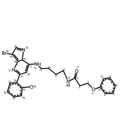 O=C(CCOc1ccccc1)NCCCCNC1=CC(c2ccccc2Cl)=NC2=C(Br)C=NC12